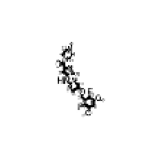 COc1cc(OC)c(F)c(COc2cnc(Nc3cc(C(=O)N4CCN(C)CC4)nn3C)nc2)c1F